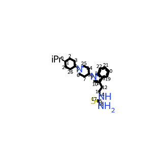 CC(C)[C@H]1CC[C@@H](N2CCC(n3cc(CCNC(N)=S)c4ccccc43)CC2)CC1